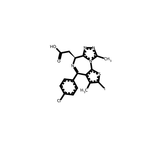 Cc1c(I)sc2c1C(c1ccc(Cl)cc1)=N[C@@H](CC(=O)O)c1nnc(C)n1-2